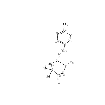 [2H]C1([2H])N[C@H](CNc2ccc(C(F)(F)F)cn2)[C@H](C)O[C@@H]1C